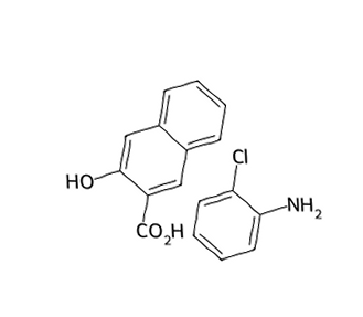 Nc1ccccc1Cl.O=C(O)c1cc2ccccc2cc1O